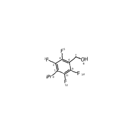 CC(C)c1c(F)c(F)c(CO)c(F)c1F